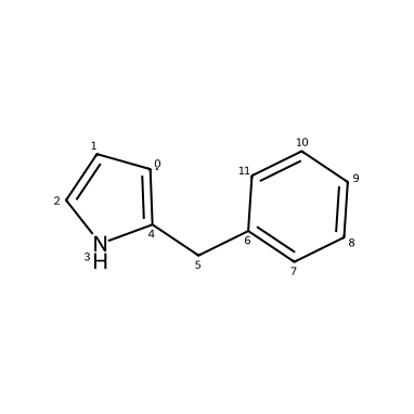 [c]1cc[nH]c1Cc1ccccc1